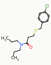 CCCN(CCC)C(=O)CCSCc1ccc(Cl)cc1